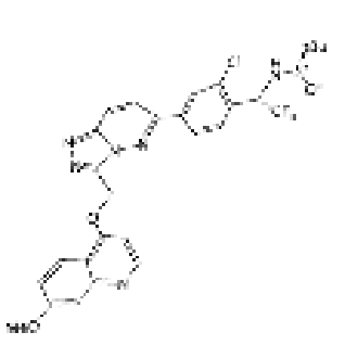 COc1ccc2c(OCc3nnc4ccc(-c5ccc([C@H](N[S@+]([O-])C(C)(C)C)C(F)(F)F)c(Cl)c5)nn34)ccnc2c1